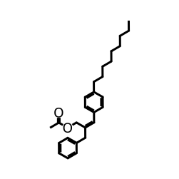 CCCCCCCCCc1ccc(/C=C(\COC(C)=O)Cc2ccccc2)cc1